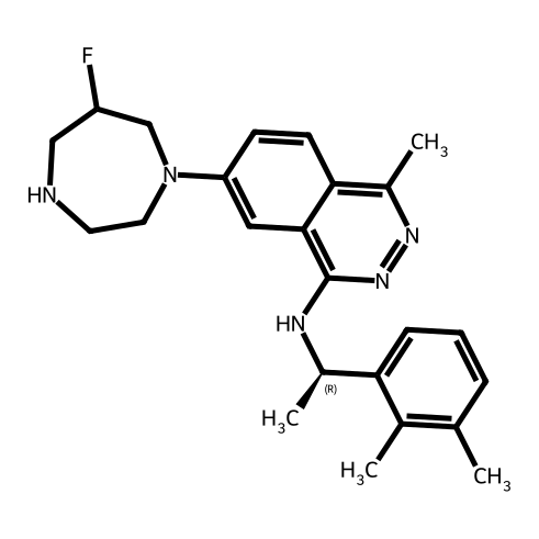 Cc1cccc([C@@H](C)Nc2nnc(C)c3ccc(N4CCNCC(F)C4)cc23)c1C